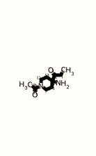 CCC(=O)C1(N)CCN(C(C)=O)CC1